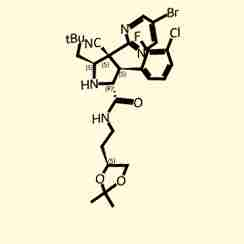 CC(C)(C)C[C@@H]1N[C@@H](C(=O)NCC[C@H]2COC(C)(C)O2)[C@H](c2cccc(Cl)c2F)[C@@]1(C#N)c1ncc(Br)cn1